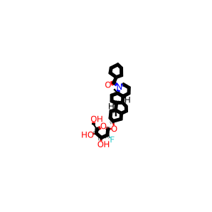 C[C@]12CC[C@H](O[C@@H]3O[C@H](CO)[C@@H](O)[C@H](O)[C@H]3F)CC1CCC1[C@@H]2CC[C@@]2(C)[C@H]1CCCN2C(=O)C1CCCCC1